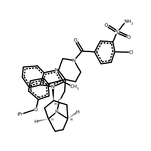 Cc1nc2ccccc2n1[C@H]1C[C@H]2CC[C@@H](C1)N2CCC1(c2cccc(OC(C)C)c2)CCN(C(=O)c2ccc(Cl)c(S(N)(=O)=O)c2)CC1